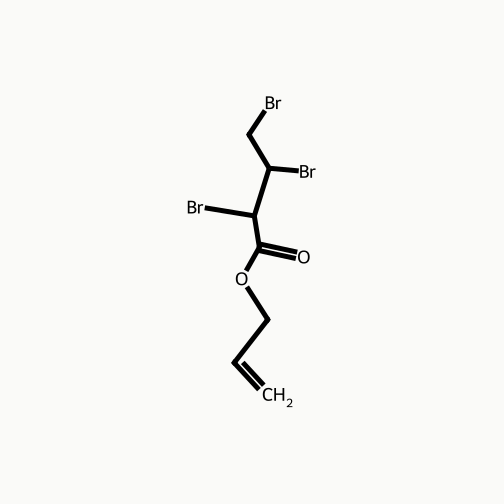 C=CCOC(=O)C(Br)C(Br)CBr